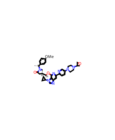 COc1ccc([C@@H](C)N2C[C@H]([C@@H](C)Oc3nc(-c4ccc(N5CCN(C6COC6)CC5)cn4)cc4ncn(C5CC5)c34)CC2=O)cc1